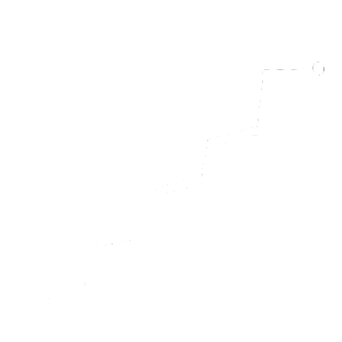 CCCC/C=C/C=C/C[O]